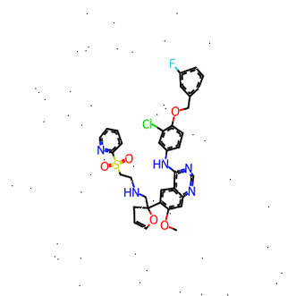 COc1cc2ncnc(Nc3ccc(OCc4cccc(F)c4)c(Cl)c3)c2cc1C1(CNCCS(=O)(=O)c2ccccn2)CC=CO1